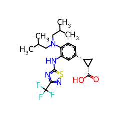 CC(C)CN(CC(C)C)c1ccc([C@@H]2C[C@@H]2C(=O)O)cc1Nc1nc(C(F)(F)F)ns1